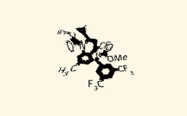 COC(=O)N(Cc1cc(C(F)(F)F)cc(C(F)(F)F)c1)C1(C(F)(F)F)CC(C2CC2)N(C(=O)OC(C)C)c2cc(C)ccc21